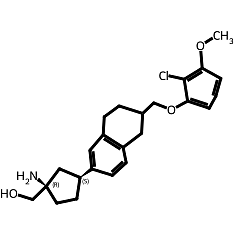 COc1cccc(OCC2CCc3cc([C@H]4CC[C@](N)(CO)C4)ccc3C2)c1Cl